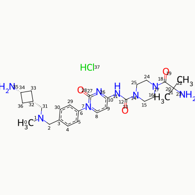 CN(Cc1ccc(-n2ccc(NC(=O)N3CCN(C(=O)C(C)(C)N)CC3)nc2=O)cc1)C[C@H]1C[C@@H](N)C1.Cl